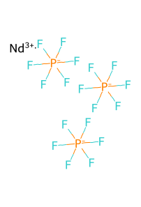 F[P-](F)(F)(F)(F)F.F[P-](F)(F)(F)(F)F.F[P-](F)(F)(F)(F)F.[Nd+3]